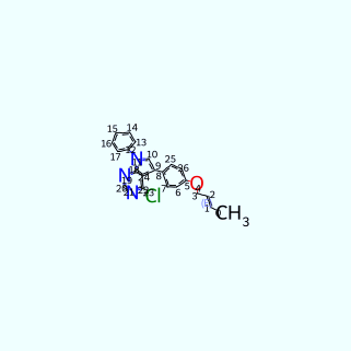 C/C=C/COc1ccc(-c2cn(-c3ccccc3)c3ncnc(Cl)c23)cc1